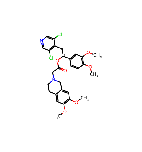 COc1ccc([C@H](Cc2c(Cl)cncc2Cl)OC(=O)CN2CCc3cc(OC)c(OC)cc3C2)cc1OC